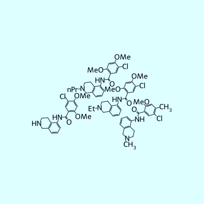 CCCN1CCc2c(cccc2NC(=O)c2cc(Cl)c(OC)cc2OC)C1.CCN1CCc2c(cccc2NC(=O)c2cc(Cl)c(OC)cc2OC)C1.COc1cc(C)c(Cl)cc1C(=O)Nc1cccc2c1CCN(C)C2.COc1cc(OC)c(C(=O)Nc2cccc3c2CCNC3)cc1Cl